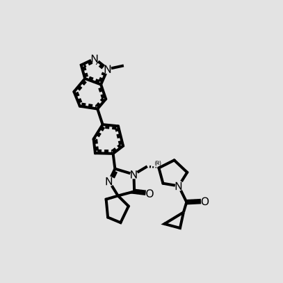 Cn1ncc2ccc(-c3ccc(C4=NC5(CCCC5)C(=O)N4C[C@@H]4CCN(C(=O)C5CC5)C4)cc3)cc21